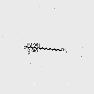 CCCCCCCCCCCCNC(=O)[C@@H](O)[C@@H](O)[C@H](O)[C@@H](O)C=O